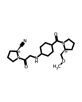 COC[C@@H]1CCCN1C(=O)C1CCC(NCC(=O)N2CCC[C@H]2C#N)CC1